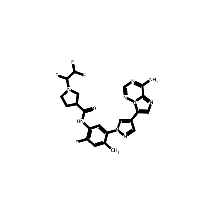 Cc1cc(F)c(NC(=O)C2CCN(C(F)C(F)F)C2)cc1-n1cc(-c2cnc3c(N)ncnn23)cn1